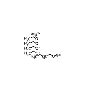 CC[O-].CC[O-].CC[O-].CC[O-].CC[O-].CC[O-].[Al+3].[Li+].[Mg+2]